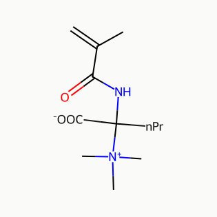 C=C(C)C(=O)NC(CCC)(C(=O)[O-])[N+](C)(C)C